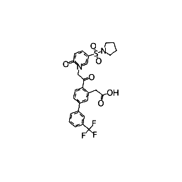 O=C(O)Cc1cc(-c2cccc(C(F)(F)F)c2)ccc1C(=O)Cn1cc(S(=O)(=O)N2CCCC2)ccc1=O